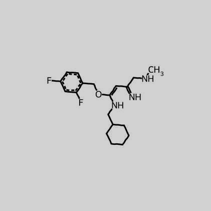 CNCC(=N)/C=C(\NCC1CCCCC1)OCc1ccc(F)cc1F